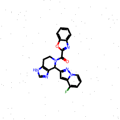 O=C(c1nc2ccccc2o1)N1CCc2[nH]cnc2C1c1cc2c(F)cccn2n1